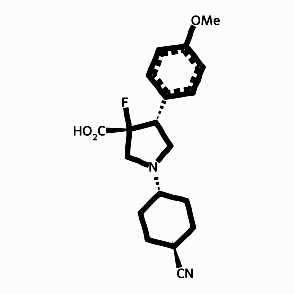 COc1ccc([C@@H]2CN([C@H]3CC[C@H](C#N)CC3)C[C@@]2(F)C(=O)O)cc1